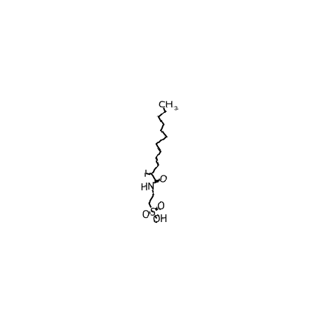 CCCCCCCCCCC(I)C(=O)NCCS(=O)(=O)O